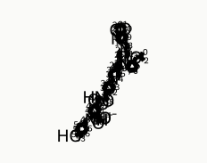 CC(C)Oc1ccccc1[C@H]1CN(Cc2cnc3c(c2)OCCO3)CCN1C1CC2(CCN(c3ccc(C(=O)NS(=O)(=O)c4ccc(NCC5CCC(C)(O)CC5)c([N+](=O)[O-])c4)cc3)CC2)C1